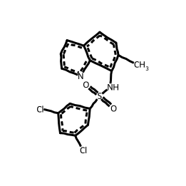 Cc1ccc2cccnc2c1NS(=O)(=O)c1cc(Cl)cc(Cl)c1